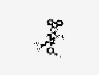 CC(C)=CCn1c(N2CCCC(N)C2)nc2c1c(=O)n(Cc1nc3ccccc3c3ccccc13)c(=O)n2C